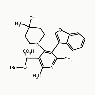 Cc1nc(C)c([C@H](OC(C)(C)C)C(=O)O)c(N2CCC(C)(C)CC2)c1-c1coc2ccccc12